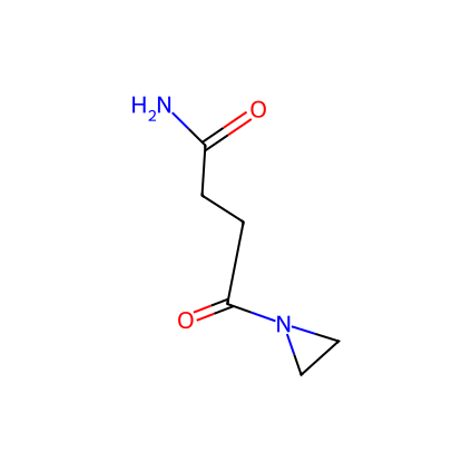 NC(=O)CCC(=O)N1CC1